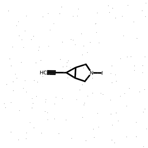 C#CC1C2CN(I)CC12